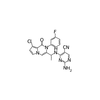 CC(Nc1nc(N)ncc1C#N)c1cn2ccc(Cl)c2c(=O)n1-c1cccc(F)c1